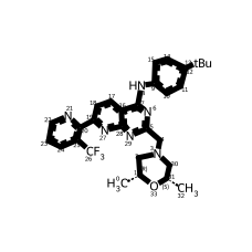 C[C@@H]1CN(Cc2nc(Nc3ccc(C(C)(C)C)cc3)c3ccc(-c4ncccc4C(F)(F)F)nc3n2)C[C@H](C)O1